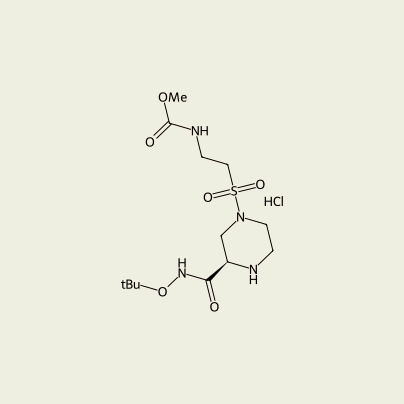 COC(=O)NCCS(=O)(=O)N1CCN[C@@H](C(=O)NOC(C)(C)C)C1.Cl